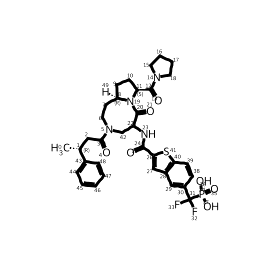 C[C@H](CC(=O)N1CC[C@H]2CC[C@@H](C(=O)N3CCCC3)N2C(=O)C(NC(=O)c2cc3cc(C(F)(F)P(=O)(O)O)ccc3s2)C1)c1ccccc1